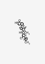 Cc1cnn(-c2nc(C)c(NC(=O)c3cnn(-c4cccc5c(=O)[nH]ccc45)c3C(F)(F)F)cc2Cl)n1